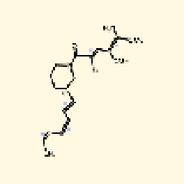 C\C=C/C=C\C=C\[C@H]1CCCN(C(=O)/C(=C/C(OC)=C(\N)OC)CC)C1